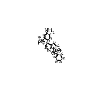 Nc1ccc(-c2ccnc3c2ccn3S(=O)(=O)c2ccccc2)c(C(F)(F)F)c1